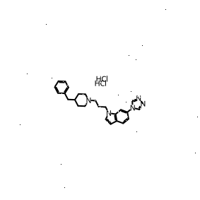 Cl.Cl.c1ccc(CC2CCN(CCCn3ccc4ccc(-n5cnnc5)cc43)CC2)cc1